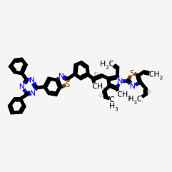 C=Cc1sc(-n2c(C)c(/C=C\C)c(/C=C(\C)c3cccc(-c4nc5cc(-c6nc(-c7ccccc7)nc(-c7ccccc7)n6)ccc5s4)c3)c2C=C)nc1/C=C\C